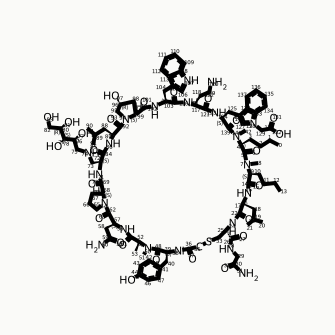 CCCC[C@H]1C(=O)N(C)[C@@H](CCCC)C(=O)N[C@@H](CC(C)C)C(=O)N[C@H](C(=O)NCC(N)=O)CSCC(=O)N[C@@H](Cc2ccc(O)cc2)C(=O)N(C)[C@@H](C)C(=O)N[C@@H](CC(N)=O)C(=O)N2CCC[C@H]2C(=O)N[C@@H](CNC[C@H](O)[C@H](O)[C@H](O)CO)C(=O)N[C@@H](CC(C)C)C(=O)N2C[C@H](O)C[C@H]2C(=O)N[C@@H](Cc2c[nH]c3ccccc23)C(=O)N[C@@H](CCN)C(=O)N[C@@H](Cc2cn(CC(=O)O)c3ccccc23)C(=O)N1C